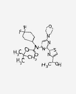 CC(O)c1csc(-c2nc(N3CCOCC3)cc(N(C(=O)OC(C)(C)C)C3CCC(F)(F)CC3)n2)n1